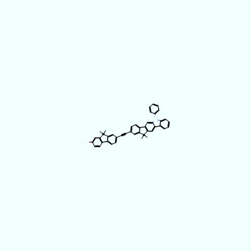 CC1(C)c2cc(Br)ccc2-c2ccc(C#Cc3ccc4c(c3)C(C)(C)c3cc5c6ccccc6n(-c6ccccc6)c5cc3-4)cc21